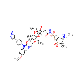 CCN[C@H]1C[C@H](C)S(=O)(=O)c2sc(S(=O)(=O)NC(=O)CCC(=O)C(C)(CC)OC(C)C(=O)C(C)(CC)OCCN(Cc3cccc(OC)c3)C(=O)Nc3ccc(-c4cn[nH]c4)cc3)cc21